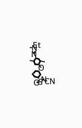 CCN(C)C=Nc1cc(C)c(Oc2cccc(S(C)(=O)=NC#N)c2)cc1C